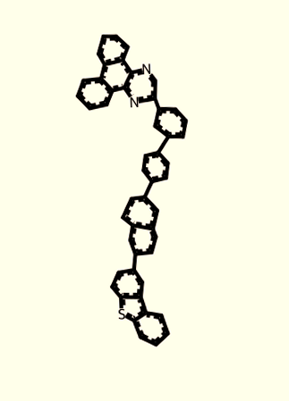 c1cc(-c2ccc(-c3ccc4cc(-c5ccc6sc7ccccc7c6c5)ccc4c3)cc2)cc(-c2cnc3c4ccccc4c4ccccc4c3n2)c1